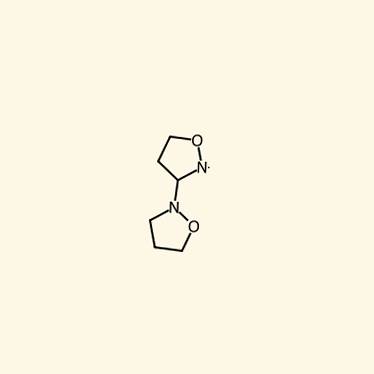 C1CON(C2CCO[N]2)C1